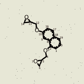 c1cc(OCC2CO2)c2cc(OCC3CO3)ccc2c1